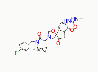 CNC(=O)NC1=CC=C2C(CC(=O)C23CN(CC(=O)N(Cc2ccc(F)cc2)[C@@H](C)C2CC2)CO3)C1=O